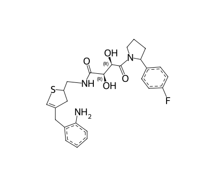 Nc1ccccc1CC1=CSC(CNC(=O)[C@H](O)[C@@H](O)C(=O)N2CCCC2c2ccc(F)cc2)C1